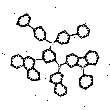 c1ccc(-c2ccc(N(c3ccc(-c4ccccc4)cc3)c3cc(-c4cc5ccccc5c5ccccc45)cc(N(c4ccc5ccccc5c4)c4ccc5c6ccccc6n(-c6ccccc6)c5c4)c3)cc2)cc1